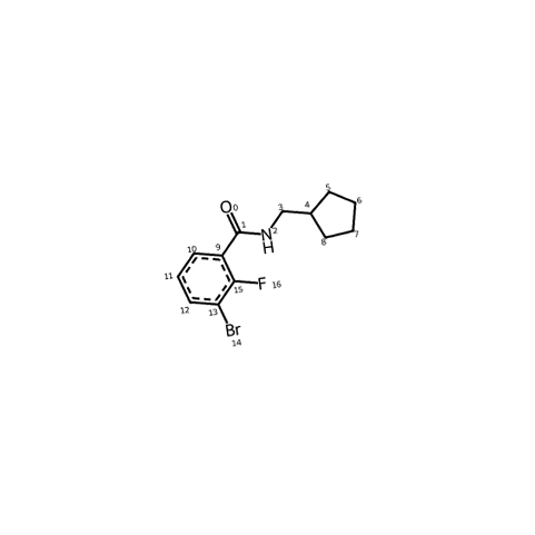 O=C(NCC1CCCC1)c1cccc(Br)c1F